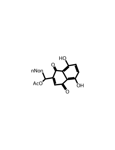 CCCCCCCCCC(OC(C)=O)C1=CC(=O)c2c(O)ccc(O)c2C1=O